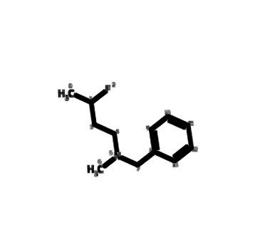 CC(F)CCN(C)Cc1ccccc1